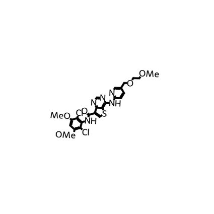 COCCOCc1ccc(Nc2ncnc3c(C(=O)Nc4c(Cl)c(OC)cc(OC)c4Cl)csc23)nc1